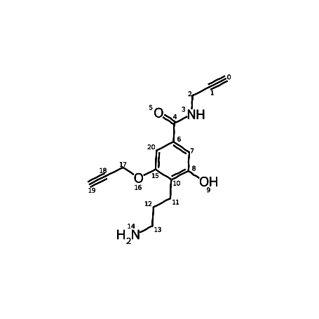 C#CCNC(=O)c1cc(O)c(CCCN)c(OCC#C)c1